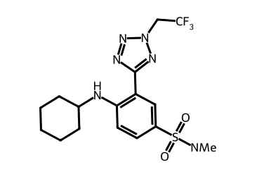 CNS(=O)(=O)c1ccc(NC2CCCCC2)c(-c2nnn(CC(F)(F)F)n2)c1